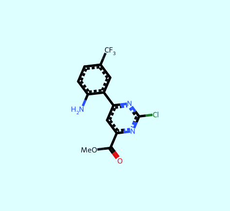 COC(=O)c1cc(-c2cc(C(F)(F)F)ccc2N)nc(Cl)n1